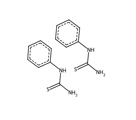 NC(=S)Nc1ccccc1.NC(=S)Nc1ccccc1